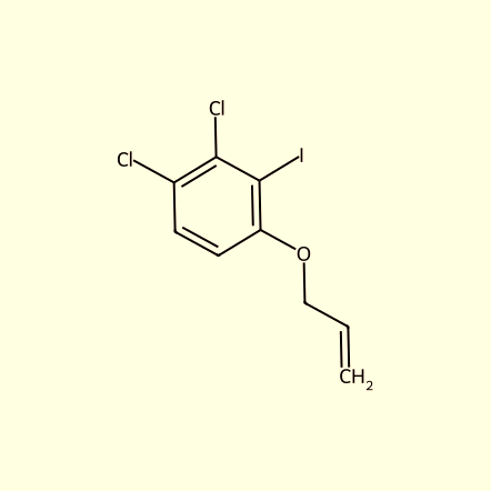 C=CCOc1ccc(Cl)c(Cl)c1I